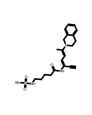 C#C/C(=C\C=C(/C)N1CCc2ccccc2C1)NC(=O)CCCCNS(=O)(=O)C(C)(C)C